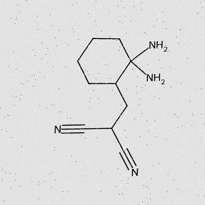 N#CC(C#N)CC1CCCCC1(N)N